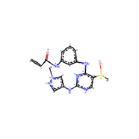 C=CC(=O)Nc1cccc(Nc2nc(Nc3cnn(C)c3)ncc2[S+](C)[O-])c1